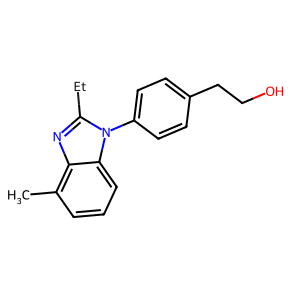 CCc1nc2c(C)cccc2n1-c1ccc(CCO)cc1